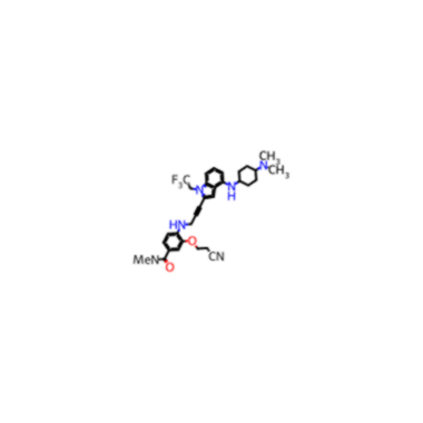 CNC(=O)c1ccc(NCC#Cc2cc3c(NC4CCC(N(C)C)CC4)cccc3n2CC(F)(F)F)c(OCCC#N)c1